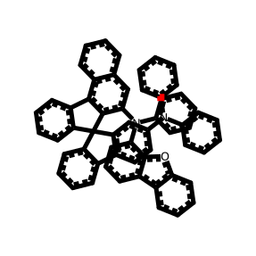 c1ccc(N(c2ccccc2)c2ccc3c(c2)C2(c4ccccc4-3)c3ccccc3-c3c2c(N(c2ccccc2)c2cccc4c2oc2ccccc24)cc2ccccc32)cc1